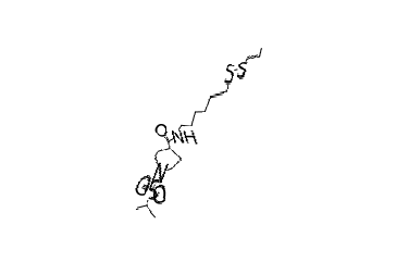 C/C=C/SSCCCCCCNC(=O)C1CCN(S(=O)(=O)C(C)C)CC1